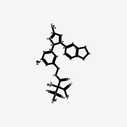 CCC(=O)C(C)(C(=O)OCc1cccc(-n2nc(C(F)(F)F)cc2-c2ccc3c(c2)CCC3)c1)S([NH-])(=O)=O.[Na+]